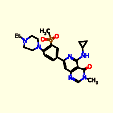 CCN1CCN(c2ccc(-c3cc4ncn(C)c(=O)c4c(NC4CC4)n3)cc2S(C)(=O)=O)CC1